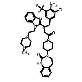 CN1CCN(CCn2c([C@H](CC(=O)N3CCC(N4CCc5ccccc5NC4=O)CC3)Cc3cc(Cl)c(N)c(C(F)(F)F)c3)nc3ccccc32)CC1